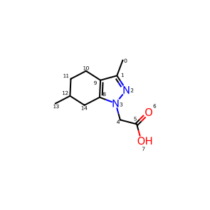 Cc1nn(CC(=O)O)c2c1CCC(C)C2